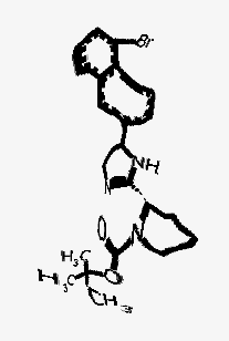 CC(C)(C)OC(=O)N1CCC[C@H]1C1=NCC(c2ccc3c(Br)cccc3c2)N1